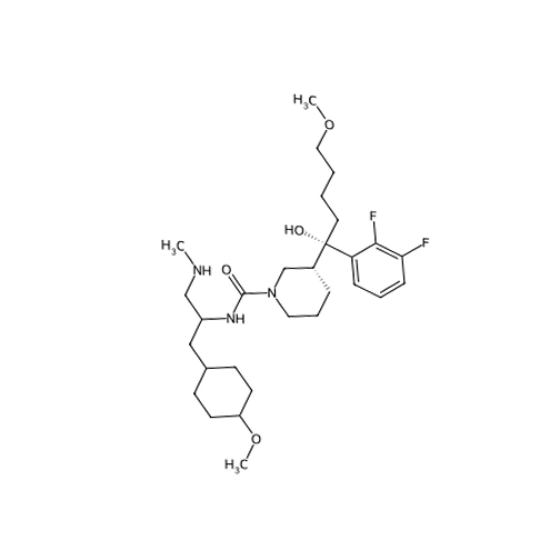 CNCC(CC1CCC(OC)CC1)NC(=O)N1CCC[C@@H]([C@@](O)(CCCCOC)c2cccc(F)c2F)C1